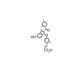 Cc1ccc(C(=O)c2sc3cc(O)ccc3c2Oc2ccc(/C=C/C(=O)O)c(C)c2)c(C)c1